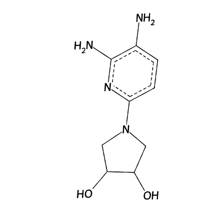 Nc1ccc(N2CC(O)C(O)C2)nc1N